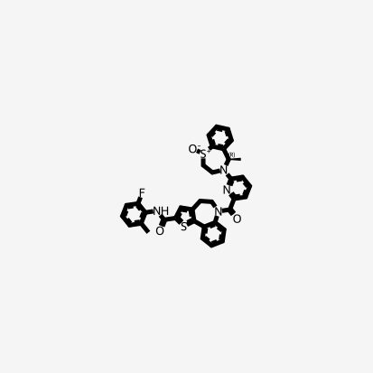 Cc1cccc(F)c1NC(=O)c1cc2c(s1)-c1ccccc1N(C(=O)c1cccc(N3CC[S+]([O-])c4ccccc4[C@H]3C)n1)CC2